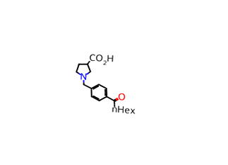 CCCCCCC(=O)c1ccc(CN2CCC(C(=O)O)C2)cc1